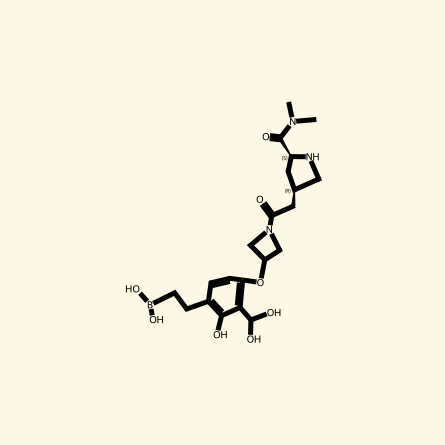 CN(C)C(=O)[C@@H]1C[C@H](CC(=O)N2CC(Oc3ccc(CCB(O)O)c(O)c3C(O)O)C2)CN1